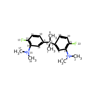 CN(C)c1cc([Si](C)(C)c2ccc(F)c(N(C)C)c2)ccc1F